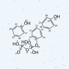 O=P(O)(O)OP(=O)(O)Oc1ccccc1.Oc1ccccc1.Oc1ccccc1